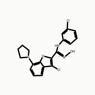 O/N=C(\Nc1cccc(Cl)c1)c1oc2c(N3CCCC3)cccc2c1Cl